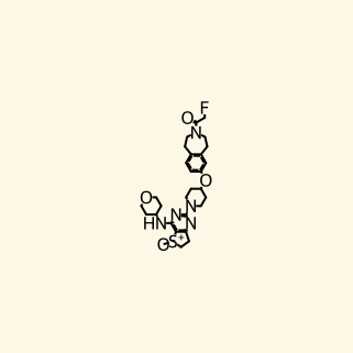 O=C(CF)N1CCc2ccc(OC3CCN(c4nc5c(c(NC6CCOCC6)n4)[S+]([O-])CC5)CC3)cc2CC1